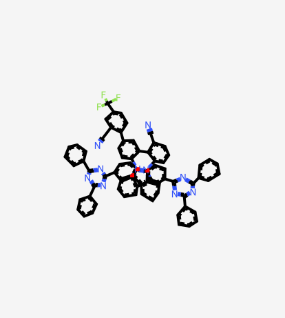 N#Cc1cc(C(F)(F)F)ccc1-c1ccc(-n2c3ccccc3c3cc(-c4nc(-c5ccccc5)nc(-c5ccccc5)n4)ccc32)c(-c2c(C#N)cccc2-n2c3ccccc3c3cc(-c4nc(-c5ccccc5)nc(-c5ccccc5)n4)ccc32)c1